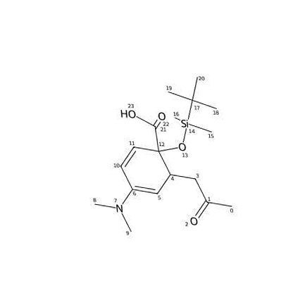 CC(=O)CC1C=C(N(C)C)C=CC1(O[Si](C)(C)C(C)(C)C)C(=O)O